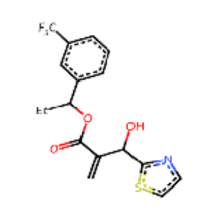 C=C(C(=O)OC(CC)c1cccc(C(F)(F)F)c1)C(O)c1nccs1